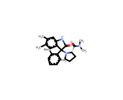 COc1cccc(C)c1C1(N2CCC[C@H]2C(=O)N(C)C)C(=O)Nc2cc(C)c(C)cc21